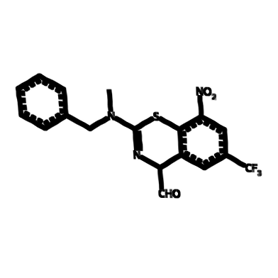 CN(Cc1ccccc1)C1=NC(C=O)c2cc(C(F)(F)F)cc([N+](=O)[O-])c2S1